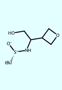 CC(C)(C)[S@+]([O-])NC(CO)C1COC1